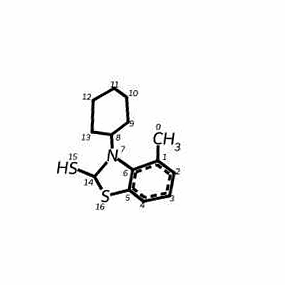 Cc1cccc2c1N(C1CCCCC1)C(S)S2